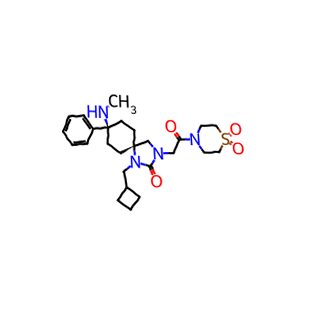 CN[C@]1(c2ccccc2)CC[C@@]2(CC1)CN(CC(=O)N1CCS(=O)(=O)CC1)C(=O)N2CC1CCC1